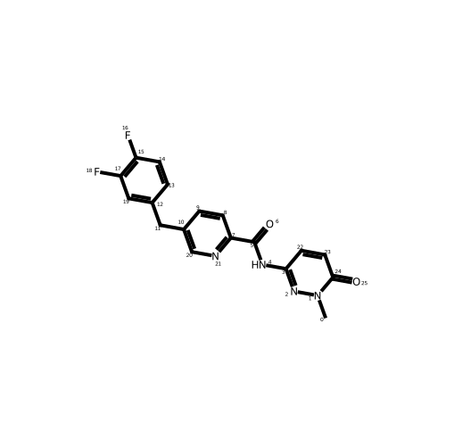 Cn1nc(NC(=O)c2ccc(Cc3ccc(F)c(F)c3)cn2)ccc1=O